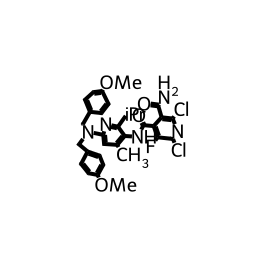 COc1ccc(CN(Cc2ccc(OC)cc2)c2cc(C)c(NC(=O)c3c(F)c(Cl)nc(Cl)c3C(N)=O)c(C(C)C)n2)cc1